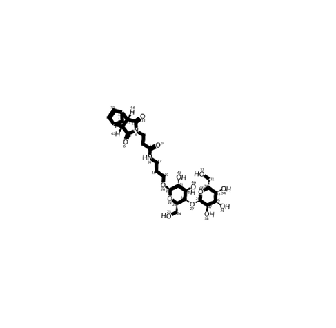 O=C(CCN1C(=O)[C@@H]2C3C=CC(C3)[C@@H]2C1=O)NCCCO[C@@H]1O[C@H](CO)[C@@H](O[C@@H]2O[C@H](CO)[C@H](O)[C@H](O)[C@H]2O)[C@H](O)[C@H]1O